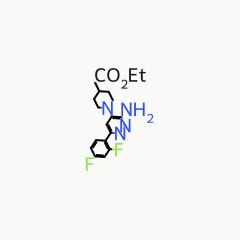 CCOC(=O)CC1CCN(c2cc(-c3ccc(F)cc3F)nnc2N)CC1